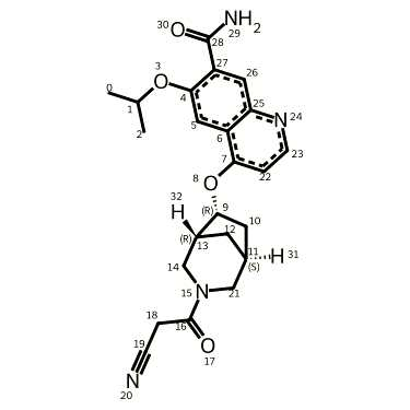 CC(C)Oc1cc2c(O[C@@H]3C[C@@H]4C[C@@H]3CN(C(=O)CC#N)C4)ccnc2cc1C(N)=O